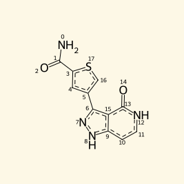 NC(=O)c1cc(-c2n[nH]c3cc[nH]c(=O)c23)cs1